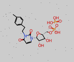 Cc1ccc(CCn2c(=O)ccn([C@@H]3O[C@H](COP(=O)(O)OP(=O)(O)O)[C@H](O)[C@@H]3O)c2=O)cc1